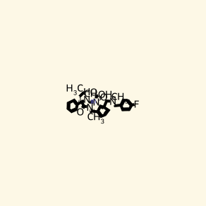 CC(C)C[C@]1(c2ccccc2)N/C(=N\C(=O)O)N([C@H](C)c2cccc(C(=O)N(C)Cc3ccc(F)cc3)c2)C1=O